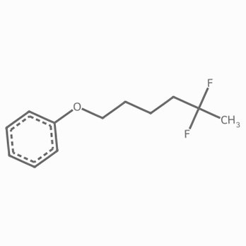 CC(F)(F)CCCCOc1ccccc1